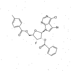 Cc1ccc(C(=O)OC[C@H]2O[C@@H](n3cc(Br)c4c(Cl)ncnc43)[C@H](OC(=O)c3ccccc3)[C@@H]2F)cc1